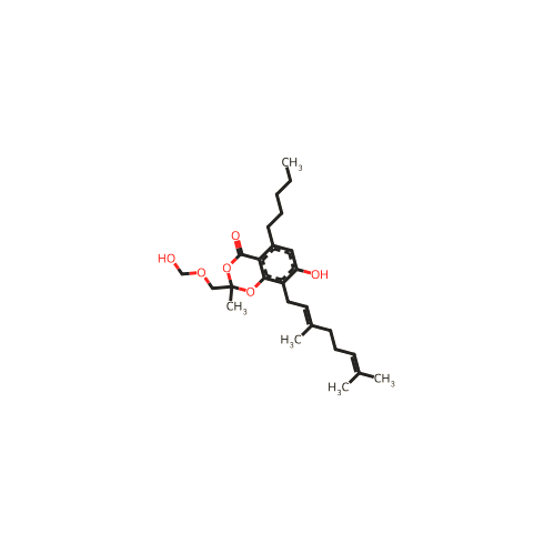 CCCCCc1cc(O)c(C/C=C(\C)CCC=C(C)C)c2c1C(=O)OC(C)(COCO)O2